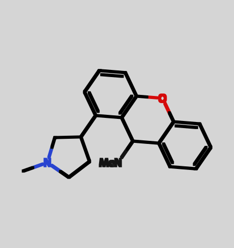 CNC1c2ccccc2Oc2cccc(C3CCN(C)C3)c21